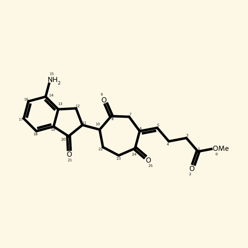 COC(=O)CC/C=C1/CC(=O)C(C2Cc3c(N)cccc3C2=O)CCC1=O